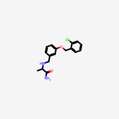 CC(NCc1cccc(OCc2ccccc2Cl)c1)C(N)=O